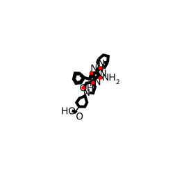 Nc1nnc(-c2ccccc2O)cc1N1CC2CCC(C1)N2c1ncc(C2CCN([C@H]3CC[C@H](C(=O)O)CC3)CC2)cn1